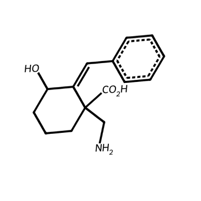 NCC1(C(=O)O)CCCC(O)C1=Cc1ccccc1